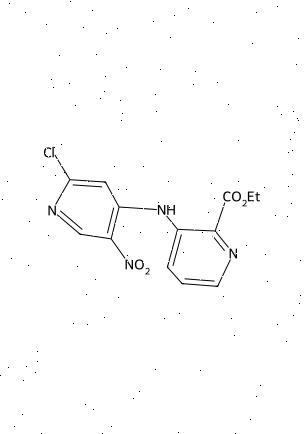 CCOC(=O)c1ncccc1Nc1cc(Cl)ncc1[N+](=O)[O-]